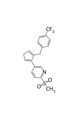 CS(=O)(=O)c1ccc(C2=CCC=C2Cc2ccc(C(F)(F)F)cc2)cn1